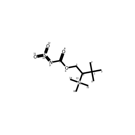 CC(C)(C)C(COC(=O)N=S(=O)=O)[Si](C)(C)C